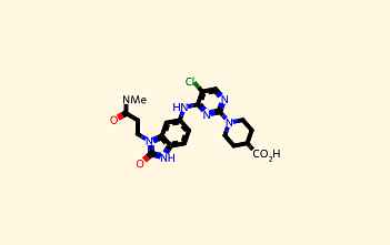 CNC(=O)CCn1c(=O)[nH]c2ccc(Nc3nc(N4CCC(C(=O)O)CC4)ncc3Cl)cc21